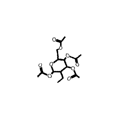 CCC1C(OC(C)=O)OC(COC(C)=O)C(OC(C)=O)C1OC(C)=O